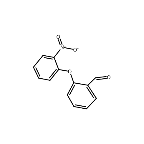 O=Cc1ccccc1Oc1ccccc1[N+](=O)[O-]